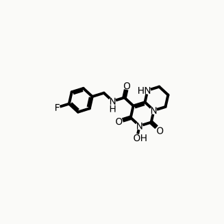 O=C(NCc1ccc(F)cc1)c1c2n(c(=O)n(O)c1=O)CCCN2